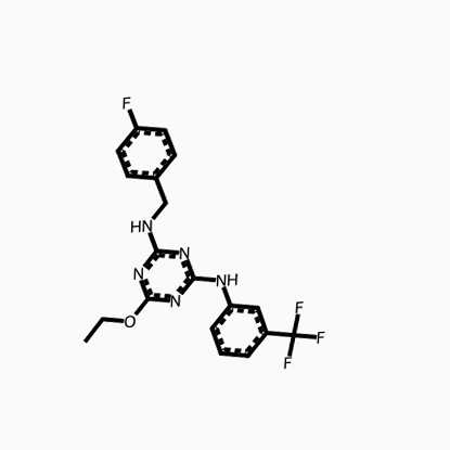 CCOc1nc(NCc2ccc(F)cc2)nc(Nc2cccc(C(F)(F)F)c2)n1